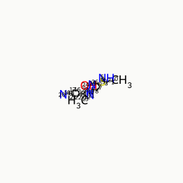 CCCC[S@@](=N)c1ccc(-n2nc(C)c(-c3ccc(C#N)cc3)c2O)nc1